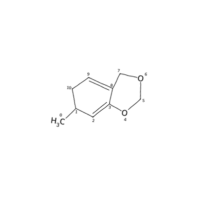 CC1C=C2OCOCC2=CC1